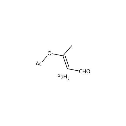 CC(=O)OC(C)=CC=O.[PbH2]